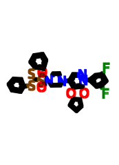 O=c1c(OC2CCCC2)c(N2CCN(S(=O)(=O)C(Sc3ccccc3)Sc3ccccc3)CC2)cnn1-c1cc(F)cc(F)c1